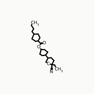 CCCCC1CCC(C(=O)OC2CCC(C3CCC(C#N)(CC)CC3)CC2)CC1